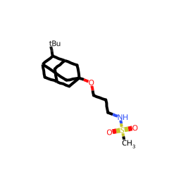 CC(C)(C)C1C2CC3CC1CC(OCCCNS(C)(=O)=O)(C3)C2